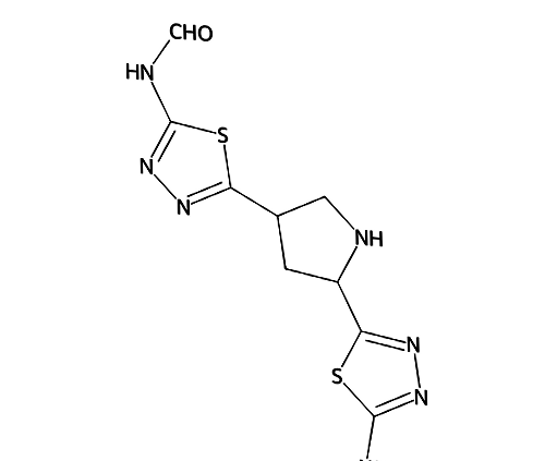 CNc1nnc(C2CC(c3nnc(NC=O)s3)CN2)s1